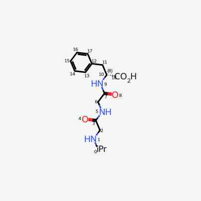 CC(C)NCC(=O)NCC(=O)N[C@H](Cc1ccccc1)C(=O)O